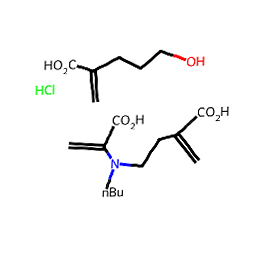 C=C(CCCO)C(=O)O.C=C(CCN(CCCC)C(=C)C(=O)O)C(=O)O.Cl